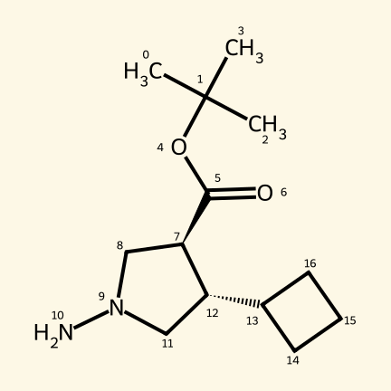 CC(C)(C)OC(=O)[C@@H]1CN(N)C[C@H]1C1CCC1